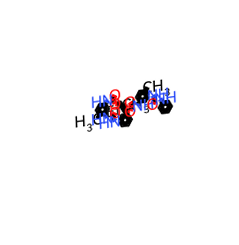 CCC(C)(COC(=O)Nc1ccc(C)c(NC(=O)Nc2ccccc2)c1)COC(=O)Nc1ccc(C)c(NC(=O)Nc2ccccc2)c1